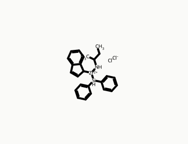 CCC(C)[NH][Zr+2]([CH]1C=Cc2ccccc21)[SiH](c1ccccc1)c1ccccc1.[Cl-].[Cl-]